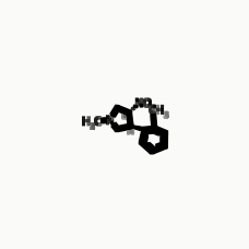 Cc1ccccc1[C@H]1CN(C)C[C@@H]1[N+](=O)[O-]